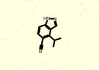 CC(C)c1c(C#N)ccc2[nH]ncc12